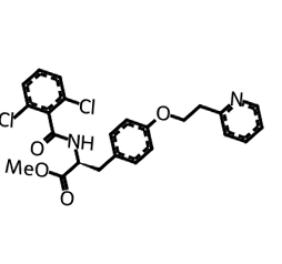 COC(=O)[C@H](Cc1ccc(OCCc2ccccn2)cc1)NC(=O)c1c(Cl)cccc1Cl